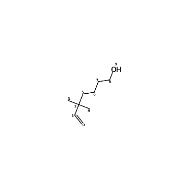 C=CC(C)(C)CCCCO